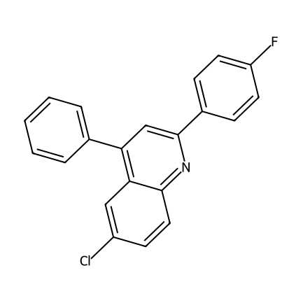 Fc1ccc(-c2cc(-c3ccccc3)c3cc(Cl)ccc3n2)cc1